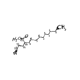 CCCCCCCCCCC(CCC#N)C(C)=O